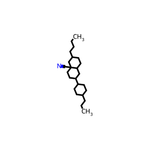 CCCCC1CCC2CC(C3CCC(CCC)CC3)CCC2(C#N)C1